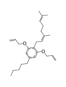 C=CCOc1cc(CCCCC)cc(OCC=C)c1CC=C(C)CCC=C(C)C